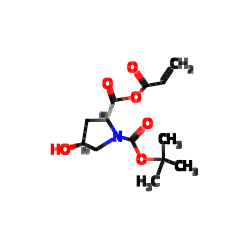 C=CC(=O)OC(=O)[C@H]1C[C@H](O)CN1C(=O)OC(C)(C)C